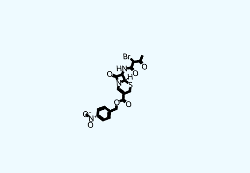 CC(=O)C(Br)C(=O)NC1C(=O)N2C=C(C(=O)OCc3ccc([N+](=O)[O-])cc3)CS[C@H]12